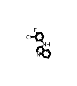 Fc1ccc(Nc2ccnc3ccccc23)cc1Cl